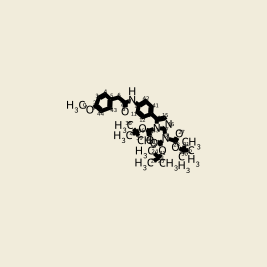 COc1ccc(CC(=O)Nc2ccc(-c3cnc(N(C(=O)OC(C)(C)C)C(=O)OC(C)(C)C)n3C(=O)OC(C)(C)C)cc2)cc1